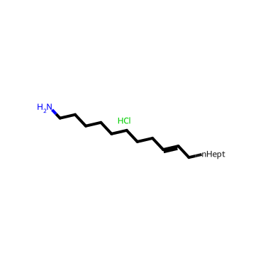 CCCCCCCCC=CCCCCCCCCN.Cl